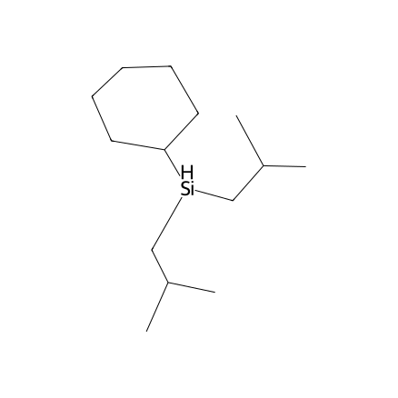 CC(C)C[SiH](CC(C)C)C1CCCCC1